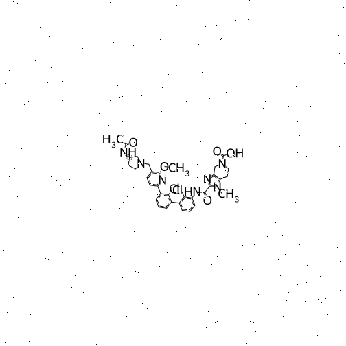 COc1nc(-c2cccc(-c3cccc(NC(=O)c4nc5c(n4C)CCN(C(=O)O)C5)c3Cl)c2Cl)ccc1CN1CC[C@@H](NC(C)=O)C1